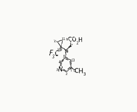 Cc1cncc([C@H](CC(=O)O)C2(C(F)(F)F)CC2)c1